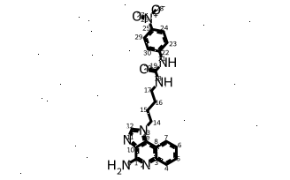 Nc1nc2ccccc2c2c1ncn2CCCCNC(=O)Nc1ccc([N+](=O)[O-])cc1